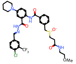 COCCNC(=O)CC[S+]([O-])Cc1cccc(C(=O)Nc2ccc(N3CCCCC3)cc2C(=O)N/N=C/c2ccc(Cl)c(C(F)(F)F)c2)c1